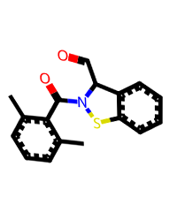 Cc1cccc(C)c1C(=O)N1Sc2ccccc2C1C=O